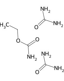 CCOC(N)=O.NC(N)=O.NC(N)=O